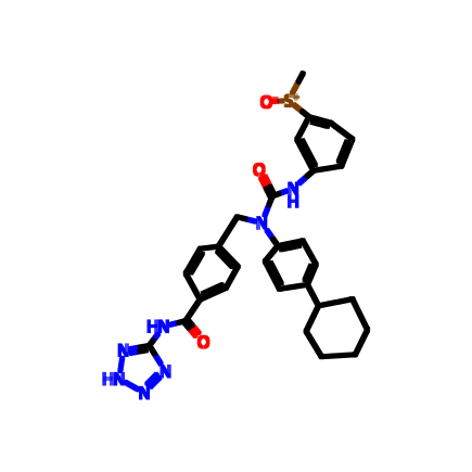 C[S+]([O-])c1cccc(NC(=O)N(Cc2ccc(C(=O)Nc3nn[nH]n3)cc2)c2ccc(C3CCCCC3)cc2)c1